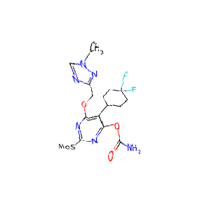 CSc1nc(OCc2ncn(C)n2)c(C2CCC(F)(F)CC2)c(OC(N)=O)n1